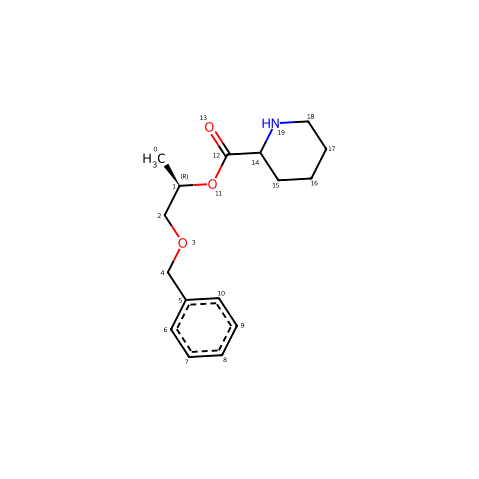 C[C@H](COCc1ccccc1)OC(=O)C1CCCCN1